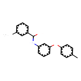 COc1cccc(C(O)Nc2cccc(Oc3ccc(C)cc3)c2)c1